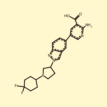 Nc1ncc(-c2ccc3nn(C4CCN(C5CCC(F)(F)CC5)C4)cc3c2)cc1C(=O)O